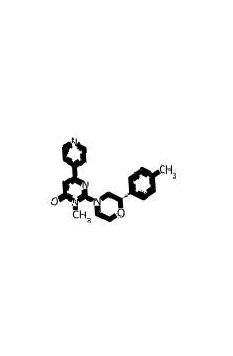 Cc1ccc([C@H]2CN(c3nc(-c4ccncc4)cc(=O)n3C)CCO2)cc1